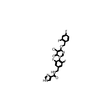 O=C(NCc1cc(F)c(-n2cnc(OCc3ccc(F)cc3F)c(Cl)c2=O)c(F)c1)c1c[nH]cn1